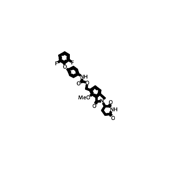 COc1c(COC(=O)Nc2ccc(Oc3c(F)cccc3F)cc2)ccc2c1C(=O)N(C1CCC(=O)NC1=O)C2